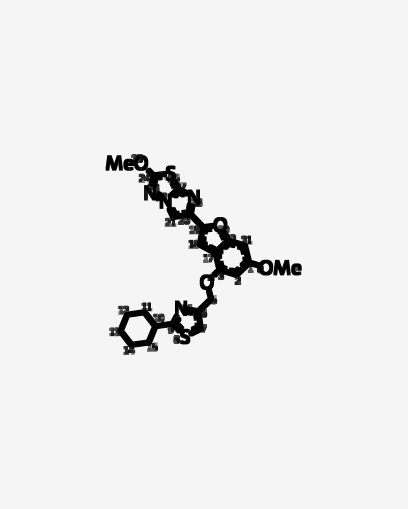 COc1cc(OCc2csc(C3CCCCC3)n2)c2cc(-c3cn4nc(OC)sc4n3)oc2c1